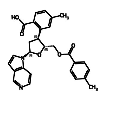 Cc1ccc(C(=O)OC[C@@H]2O[C@@H](n3ccc4cnccc43)C[C@H]2c2cc(C)ccc2C(=O)O)cc1